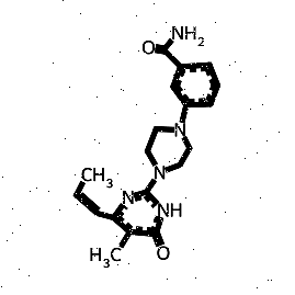 C/C=C\c1nc(N2CCN(c3cccc(C(N)=O)c3)CC2)[nH]c(=O)c1C